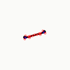 O=C(OCCCN1C(=O)C=CC1=O)OCCOCCOCCOCCOC(=O)OCCCN1C(=O)C=CC1=O